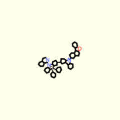 c1ccc([Si]2(c3ccccc3)c3ccccc3N(c3nccc4ccccc34)c3ccc(-c4ccc5c(c4)c4ccccc4n5-c4ccc5c(ccc6oc7ccccc7c65)c4)cc32)cc1